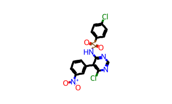 O=[N+]([O-])c1cccc(-c2c(Cl)ncnc2NS(=O)(=O)c2ccc(Cl)cc2)c1